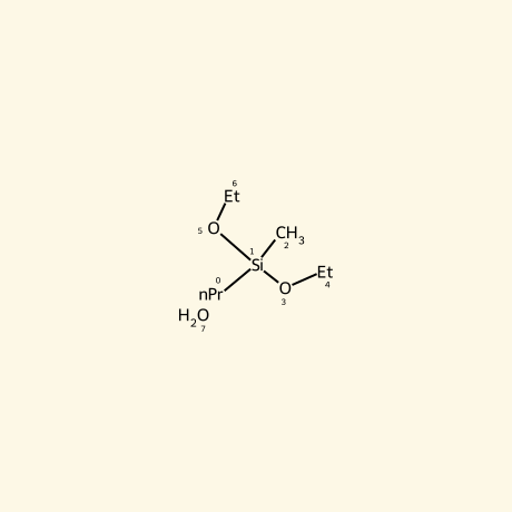 CCC[Si](C)(OCC)OCC.O